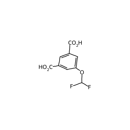 O=C(O)c1cc(OC(F)F)cc(C(=O)O)c1